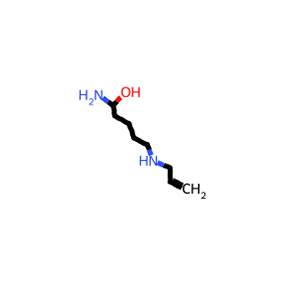 C=CCNCCCCC(N)O